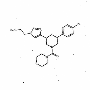 CCc1ccc(C2CC(c3cn(CCOC)cn3)CN(C(=O)N3CCOCC3)C2)cc1